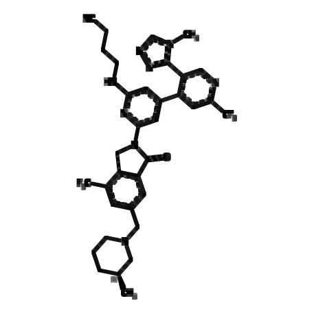 C[C@H]1CCCN(Cc2cc3c(c(C(F)(F)F)c2)CN(c2cc(-c4cc(C(F)(F)F)ncc4-c4nncn4C)cc(NCCCC#N)n2)C3=O)C1